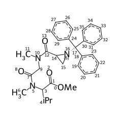 COC(=O)C(C(C)C)N(C)C(=O)CN(C)C(=O)C1C[N@@]1C(c1ccccc1)(c1ccccc1)c1ccccc1